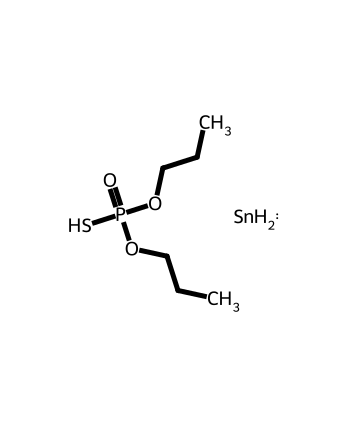 CCCOP(=O)(S)OCCC.[SnH2]